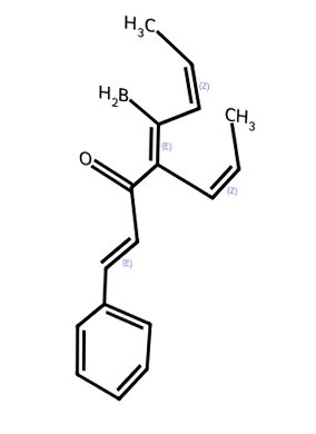 BC(/C=C\C)=C(/C=C\C)C(=O)/C=C/c1ccccc1